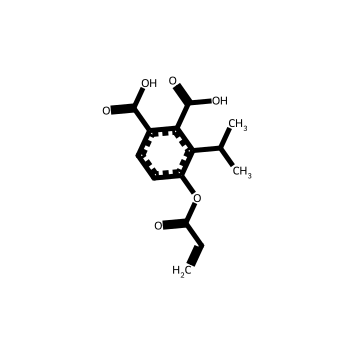 C=CC(=O)Oc1ccc(C(=O)O)c(C(=O)O)c1C(C)C